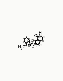 CCC1CCCCN1S(=O)(=O)Nc1ccc2c(c1)C(=O)NCC2